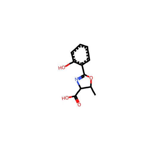 CC1OC(c2ccccc2O)=NC1C(=O)O